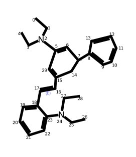 CCN(CC)C1=C[C](c2ccccc2)CC(/C=C/c2ccccc2N(CC)CC)=C1